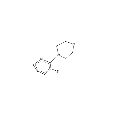 Brc1cncnc1N1CCOCC1